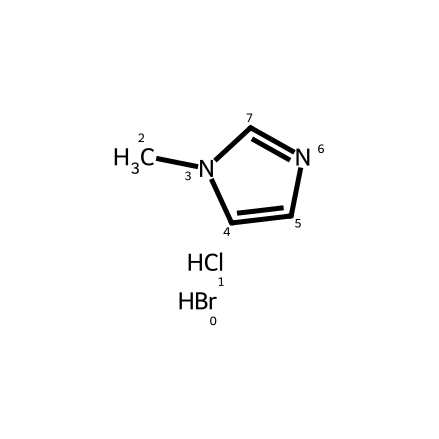 Br.Cl.Cn1ccnc1